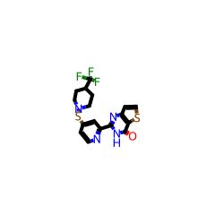 O=c1[nH]c(-c2cc(SN3CCC(C(F)(F)F)CC3)ccn2)nc2ccsc12